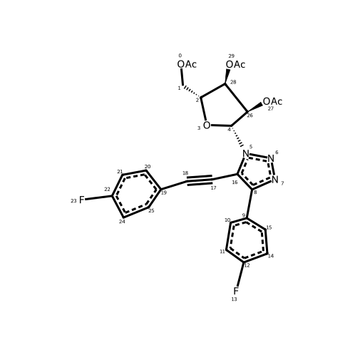 CC(=O)OC[C@H]1O[C@@H](n2nnc(-c3ccc(F)cc3)c2C#Cc2ccc(F)cc2)[C@H](OC(C)=O)[C@@H]1OC(C)=O